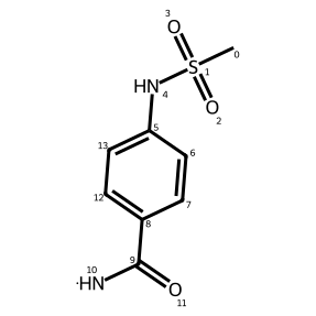 CS(=O)(=O)Nc1ccc(C([NH])=O)cc1